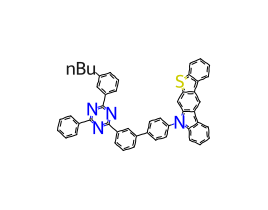 CCCCc1cccc(-c2nc(-c3ccccc3)nc(-c3cccc(-c4ccc(-n5c6ccccc6c6cc7c(cc65)sc5ccccc57)cc4)c3)n2)c1